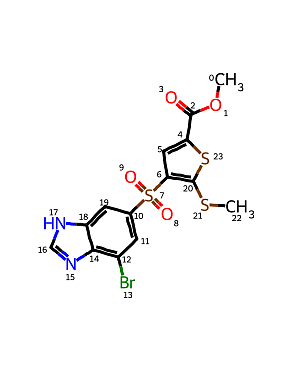 COC(=O)c1cc(S(=O)(=O)c2cc(Br)c3nc[nH]c3c2)c(SC)s1